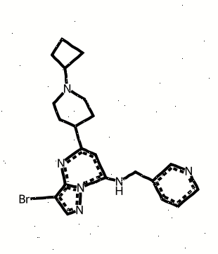 Brc1cnn2c(NCc3cccnc3)cc(C3CCN(C4CCC4)CC3)nc12